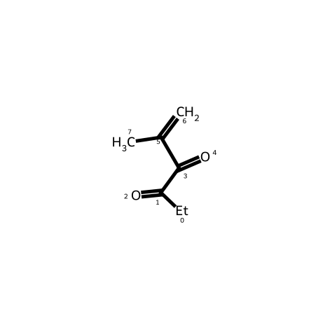 [CH2]CC(=O)C(=O)C(=C)C